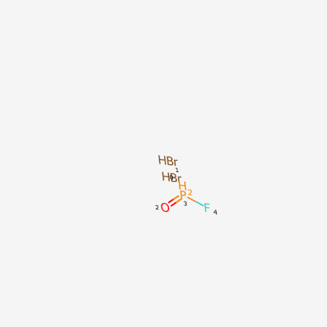 Br.Br.O=[PH2]F